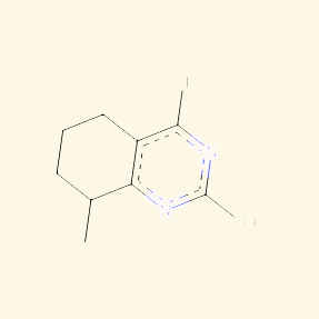 CC(C)c1nc(C(C)(C)C)nc2c1CCCC2C